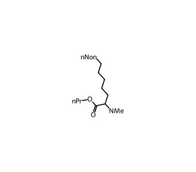 CCCCCCCCCCCCCCC(NC)C(=O)OCCC